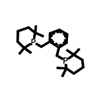 CC1(C)CCCC(C)(C)P1Cc1ccccc1CP1C(C)(C)CCCC1(C)C